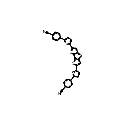 N#Cc1ccc(-c2ccc(-c3cc4sc5cc(-c6ccc(-c7ccc(C#N)cc7)s6)sc5c4s3)s2)cc1